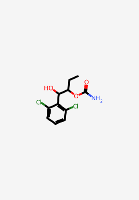 CCC(OC(N)=O)C(O)c1c(Cl)cccc1Cl